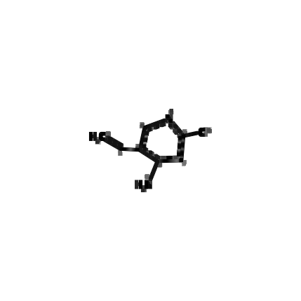 C=Cc1cnc(Cl)cc1N